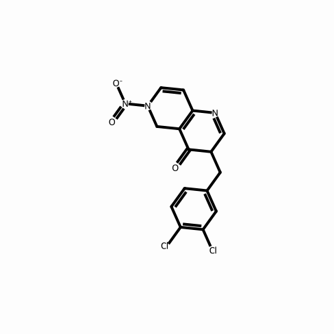 O=C1C2=C(C=CN([N+](=O)[O-])C2)N=CC1Cc1ccc(Cl)c(Cl)c1